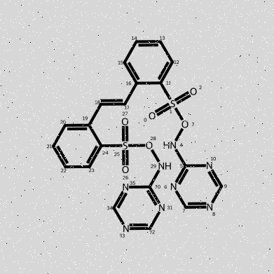 O=S(=O)(ONc1ncncn1)c1ccccc1C=Cc1ccccc1S(=O)(=O)ONc1ncncn1